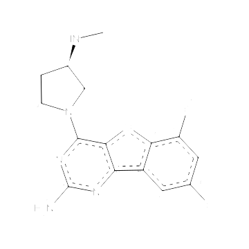 CN[C@@H]1CCN(c2nc(N)nc3c2oc2c(Cl)cc(Cl)cc23)C1